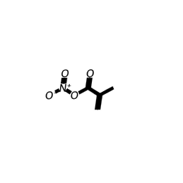 C=C(C)C(=O)O[N+](=O)[O-]